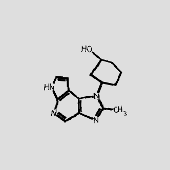 Cc1nc2cnc3[nH]ccc3c2n1C1CCCC(O)C1